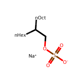 CCCCCCCCC(CCCCCC)COS(=O)(=O)[O-].[Na+]